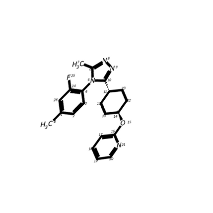 Cc1ccc(-n2c(C)nnc2[C@H]2CC[C@H](Oc3ccccn3)CC2)c(F)c1